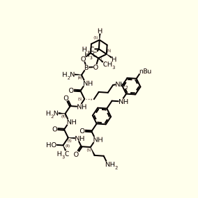 CCCCc1ccc(NCc2ccc(C(=O)N[C@@H](CCN)C(=O)N[C@H](C(=O)N[C@@H](N)C(=O)N[C@@H](CCCCN)C(=O)N[C@@H](N)B3OC4C[C@@H]5C[C@@H](C5(C)C)[C@]4(C)O3)[C@@H](C)O)cc2)cc1